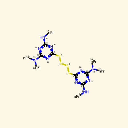 CCCNc1nc(SSSSc2nc(NCCC)nc(N(CCC)CCC)n2)nc(N(CCC)CCC)n1